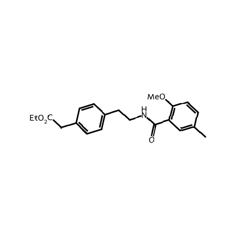 CCOC(=O)Cc1ccc(CCNC(=O)c2cc(C)ccc2OC)cc1